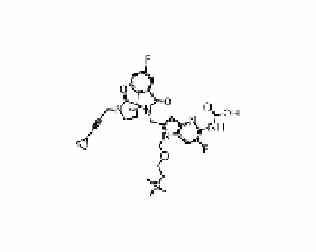 C[Si](C)(C)CCOCn1c(CN2C(=O)c3cc(F)ccc3[C@]23CCN(CC#CC2CC2)C3=O)cc2nc(NC(=O)O)c(F)cc21